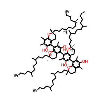 Cc1c(C)c2c(c(-c3c(C)c(O)c(-c4c(C)c(O)c(-c5c(C)c(O)c(C)c6c5OC(C)(CCCC(C)CCCC(C)CCCC(C)C)CC6)c5c4O[C@@](C)(CCCC(C)CCCC(C)CCCC(C)C)CC5)c4c3O[C@](C)(CCCC(C)CCCC(C)CCCC(C)C)CC4)c1O)CCC(C)(CCC[C@H](C)CCC[C@H](C)CCCC(C)C)O2